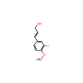 CCCCOc1ccc(/C=C/CO)cc1F